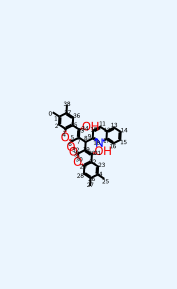 Cc1cc2oc(=O)c(C(c3ccc4ccccc4n3)c3c(O)c4cc(C)c(C)cc4oc3=O)c(O)c2cc1C